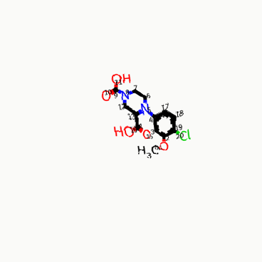 COc1cc(N2CCN(C(=O)O)CC2C(=O)O)ccc1Cl